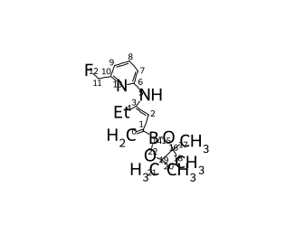 C=C(/C=C(\CC)Nc1cccc(CF)n1)B1OC(C)(C)C(C)(C)O1